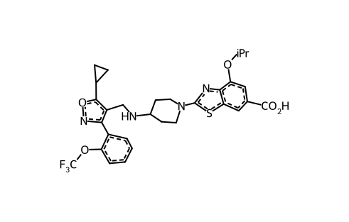 CC(C)Oc1cc(C(=O)O)cc2sc(N3CCC(NCc4c(-c5ccccc5OC(F)(F)F)noc4C4CC4)CC3)nc12